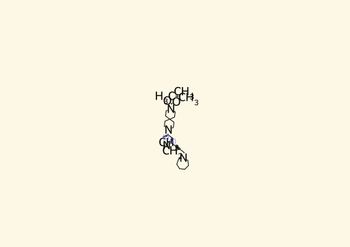 C=N/C(C#CCN1CCCCCC1)=C\C(=C/C)N1CCC2(CCN(C(=O)OC(C)(C)C)CC2)CC1